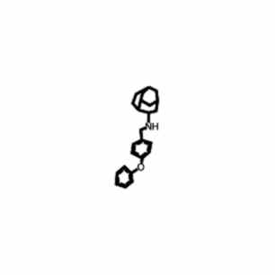 c1ccc(Oc2ccc(CNC3CC4CC5CCC3C(C5)C4)cc2)cc1